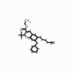 CCOC(=O)C1=Cc2cc(CCCCC#N)c(Cc3ccccc3)cc2OC1C(F)(F)F